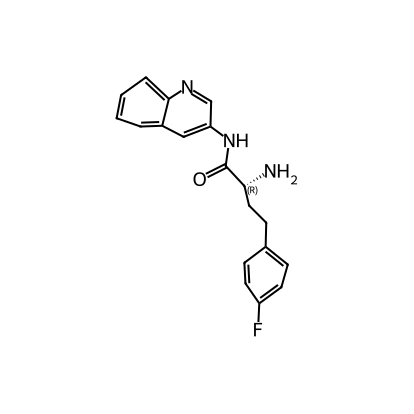 N[C@H](CCc1ccc(F)cc1)C(=O)Nc1cnc2ccccc2c1